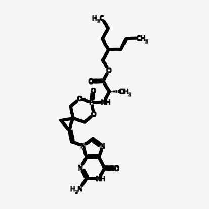 CCCC(CCC)COC(=O)[C@H](C)NP1(=O)OCC2(CO1)C/C2=C/n1cnc2c(=O)[nH]c(N)nc21